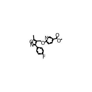 COC(=O)c1ccc(OCc2c(-c3ccc(F)cc3)noc2C)nc1